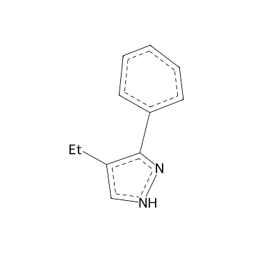 [CH2]Cc1c[nH]nc1-c1ccccc1